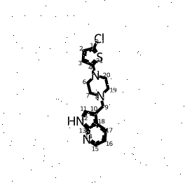 Clc1ccc(N2CCN(Cc3c[nH]c4ncccc34)CC2)s1